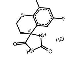 Cl.Nc1cc(F)cc2c1SCC[C@]21NC(=O)NC1=O